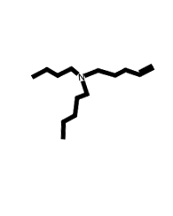 C=CCCCN(CCCC)CCCCC